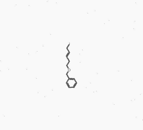 ICC=CCCOCc1ccccc1